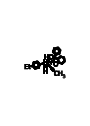 CC#CC(NCc1ccc(CC)cc1)NC(=O)C(O)(c1ccccc1)C1CCCCC1